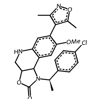 COc1cc2c(cc1-c1c(C)noc1C)NCC1OC(=O)N([C@H](C)c3ccc(Cl)cc3)C21